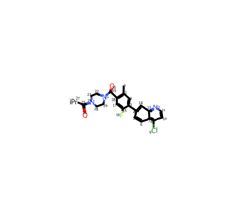 Cc1cc(-c2ccc3c(Cl)ccnc3c2)c(F)cc1C(=O)N1CCN(C(=O)C(C)C)CC1